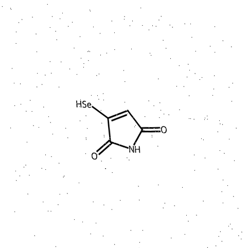 O=C1C=C([SeH])C(=O)N1